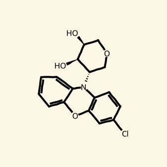 O[C@H]1[C@@H](O)COC[C@@H]1N1c2ccccc2Oc2cc(Cl)ccc21